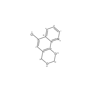 Clc1cc2c(c3ncccc13)OCOC2